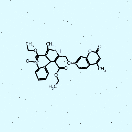 CCOC(=O)C1=C(C)NC(COc2ccc3c(C)cc(=O)oc3c2)=C(C(=O)OCC)C1c1ccccc1[N+](=O)[O-]